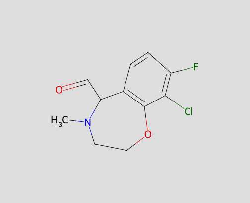 CN1CCOc2c(ccc(F)c2Cl)C1C=O